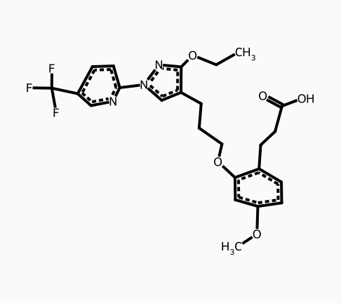 CCOc1nn(-c2ccc(C(F)(F)F)cn2)cc1CCCOc1cc(OC)ccc1CCC(=O)O